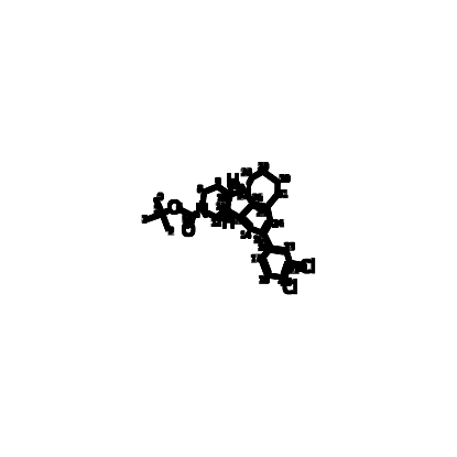 CC(C)(C)OC(=O)N1CC[C@H]2[C@@H](C1)c1cc(-c3ccc(Cl)c(Cl)c3)cc3c1N2CCCC3